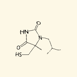 CC(C)CN1C(=O)NC(=O)C1(C)CS